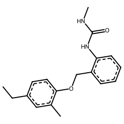 CCc1ccc(OCc2ccccc2NC(=O)NC)c(C)c1